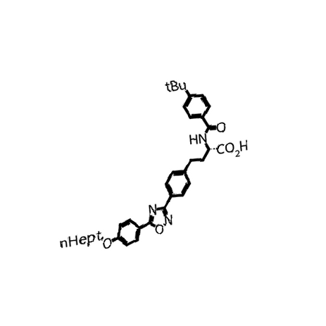 CCCCCCCOc1ccc(-c2nc(-c3ccc(CC[C@H](NC(=O)c4ccc(C(C)(C)C)cc4)C(=O)O)cc3)no2)cc1